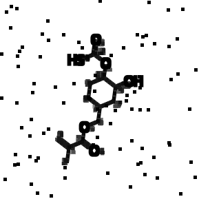 C=C(C)C(=O)OCC1CCC(OC(=O)S)C(O)C1